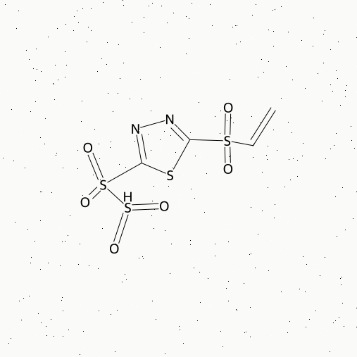 C=CS(=O)(=O)c1nnc(S(=O)(=O)[SH](=O)=O)s1